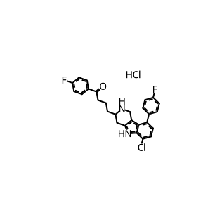 Cl.O=C(CCCC1Cc2[nH]c3c(Cl)ccc(-c4ccc(F)cc4)c3c2CN1)c1ccc(F)cc1